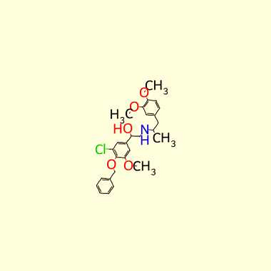 COc1ccc(CC(C)NCC(O)c2cc(Cl)c(OCc3ccccc3)c(OC)c2)cc1OC